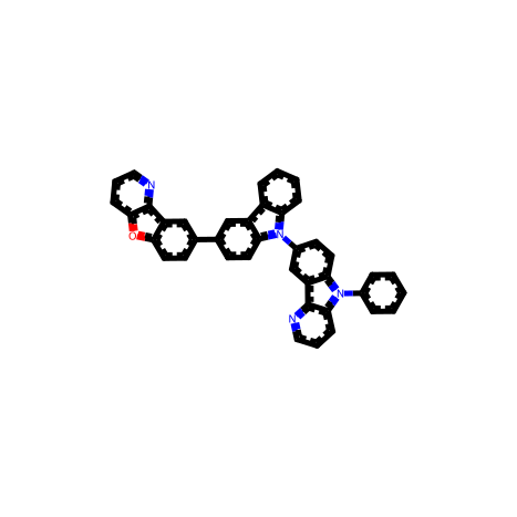 c1ccc(-n2c3ccc(-n4c5ccccc5c5cc(-c6ccc7oc8cccnc8c7c6)ccc54)cc3c3ncccc32)cc1